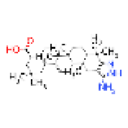 CC1(C)CC2C3=CCC4C5(C)Cc6c(n[nH]c6N)C(C)(C)C5CCC4(C)C3(C)CCC2[C@H](C(=O)O)C1